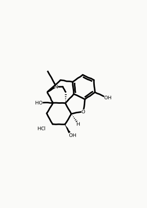 CN1CC[C@]23c4c5ccc(O)c4O[C@H]2[C@@H](O)CCC3(O)C1C5.Cl